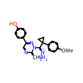 C=C1N=CC(c2ccc(O)cc2)=NN1/C(=N\N)C1(c2ccc(OC)cc2)CC1